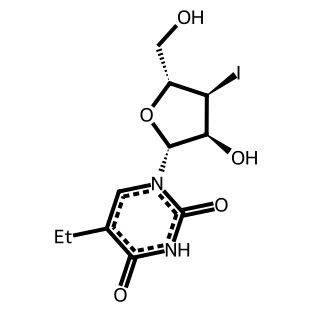 CCc1cn([C@@H]2O[C@H](CO)[C@@H](I)[C@H]2O)c(=O)[nH]c1=O